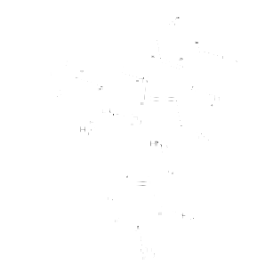 C=C1C(C(=O)NCc2cccc(C)c2F)=CN(CC(C2CCC2)N(C)C)C(C=O)=C1SC